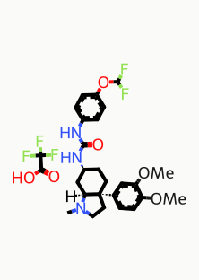 COc1ccc([C@@]23CC[C@@H](NC(=O)Nc4ccc(OC(F)F)cc4)C[C@@H]2N(C)CC3)cc1OC.O=C(O)C(F)(F)F